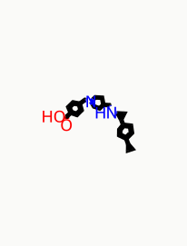 O=C(O)c1ccc(CN2CCC(CNC3CC3c3ccc(C4CC4)cc3)CC2)cc1